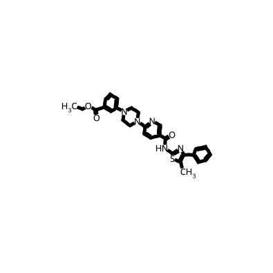 CCOC(=O)c1cccc(N2CCN(c3ccc(C(=O)Nc4nc(-c5ccccc5)c(C)s4)cn3)CC2)c1